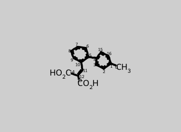 Cc1ccc(-c2ccccc2C=C(C(=O)O)C(=O)O)cc1